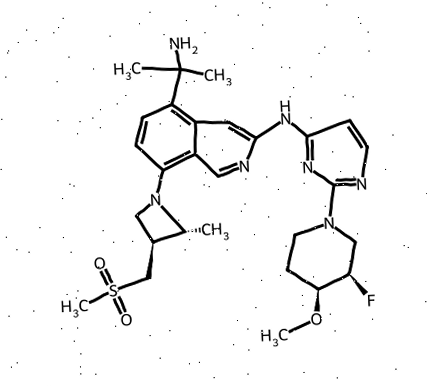 CO[C@H]1CCN(c2nccc(Nc3cc4c(C(C)(C)N)ccc(N5C[C@H](CS(C)(=O)=O)[C@H]5C)c4cn3)n2)C[C@H]1F